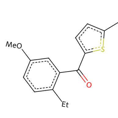 CCc1ccc(OC)cc1C(=O)c1ccc(C)s1